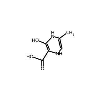 CC1=CNC(C(=O)O)=C(O)N1